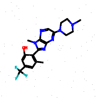 Cc1cc(C(F)(F)F)cc(O)c1-c1nc2nc(N3CCN(C)CC3)cnc2n1C